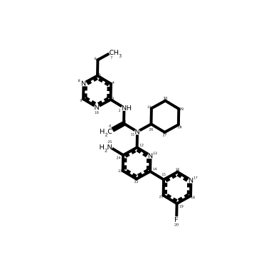 C=C(Nc1cc(CC)ncn1)N(c1nc(-c2cncc(F)c2)ccc1N)C1CCCCC1